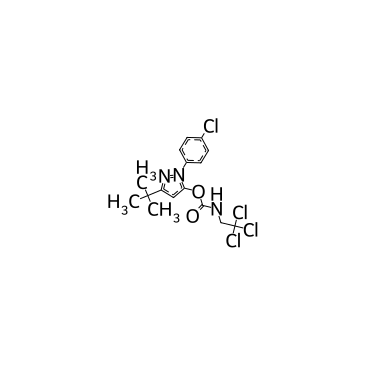 CC(C)(C)c1cc(OC(=O)NCC(Cl)(Cl)Cl)n(-c2ccc(Cl)cc2)n1